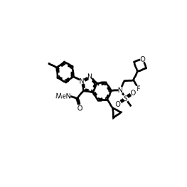 CNC(=O)c1c2cc(C3CC3)c(N(CC(F)C3COC3)S(C)(=O)=O)cc2nn1-c1ccc(C)cc1